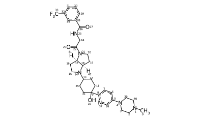 CN1CCN(c2ccc(C3(O)CCC(N4CC[C@@H]5[C@H]4CCN5C(=O)CNC(=O)c4cccc(C(F)(F)F)c4)CC3)nc2)CC1